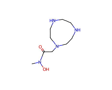 CN(O)C(=O)CN1CCNCCNCC1